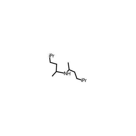 CC(C)CCC(C)NC(C)CCC(C)C